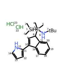 C[SiH](C)[Ti]([CH3])([CH3])([NH]C(C)(C)C)[CH]1C=C(c2ccc[nH]2)c2ccccc21.Cl.Cl